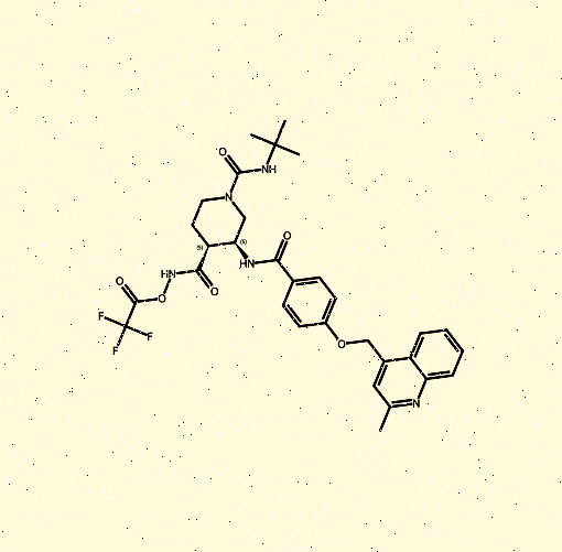 Cc1cc(COc2ccc(C(=O)N[C@@H]3CN(C(=O)NC(C)(C)C)CC[C@@H]3C(=O)NOC(=O)C(F)(F)F)cc2)c2ccccc2n1